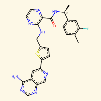 Cc1ccc([C@H](C)NC(=O)c2nccnc2NCc2ccc(-c3cc4c(N)ncnc4cn3)s2)cc1F